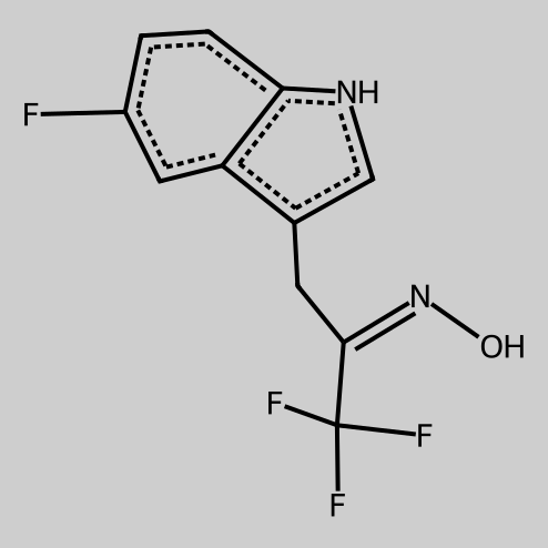 ON=C(Cc1c[nH]c2ccc(F)cc12)C(F)(F)F